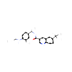 CCNc1ccc([C@@H](C)NC(=O)c2cnc3ccc(C(C)(C)C)cc3c2)cc1C